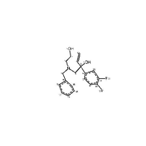 C=CC(O)(CN(CCO)Cc1ccccc1)c1ccc(F)c(F)c1